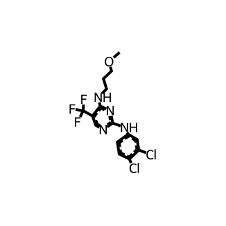 COCCCNc1nc(Nc2ccc(Cl)c(Cl)c2)ncc1C(F)(F)F